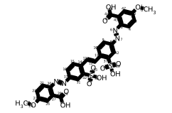 COc1ccc(N=Nc2ccc(C=Cc3ccc(N=Nc4ccc(OC)cc4C(=O)O)cc3S(=O)(=O)O)c(S(=O)(=O)O)c2)c(C(=O)O)c1